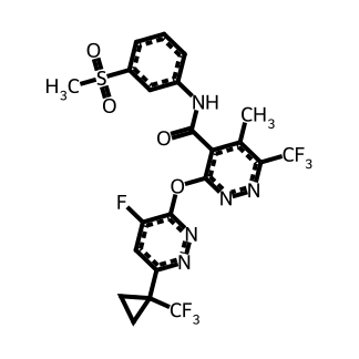 Cc1c(C(F)(F)F)nnc(Oc2nnc(C3(C(F)(F)F)CC3)cc2F)c1C(=O)Nc1cccc(S(C)(=O)=O)c1